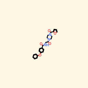 O=C(NCC(=O)N1CCN(C(=O)c2ccco2)CC1)c1ccc(Oc2ccccc2)cc1